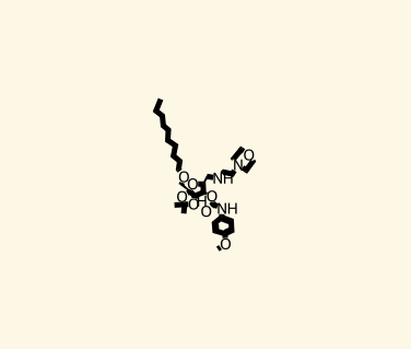 CCCCCCCCCCOC[C@@]12O[C@@H](CNCCN3CCOCC3)[C@@H](OC(=O)Nc3ccc(OC)cc3)[C@@H]1OC(C)(C)O2